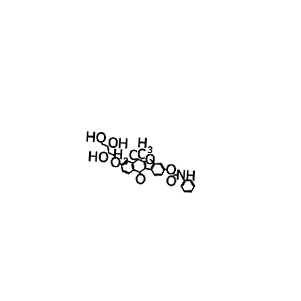 CC1(C)c2cc(OCC(O)C(O)CO)ccc2C(=O)c2c1oc1cc(OC(=O)Nc3ccccc3)ccc21